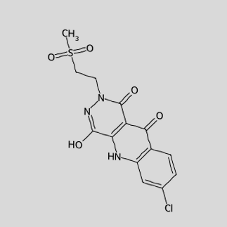 CS(=O)(=O)CCn1nc(O)c2[nH]c3cc(Cl)ccc3c(=O)c2c1=O